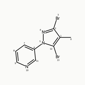 Cc1c(Br)nn(-c2cccnc2)c1Br